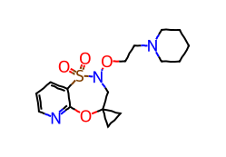 O=S1(=O)c2cccnc2OC2(CC2)CN1OCCN1CCCCC1